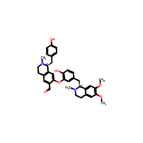 COc1cc2c(cc1OC)[C@H](Cc1ccc(O)c(Oc3cc4c(cc3C=O)CCN(C)[C@H]4Cc3ccc(O)cc3)c1)N(C)CC2